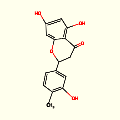 Cc1ccc(C2CC(=O)c3c(O)cc(O)cc3O2)cc1O